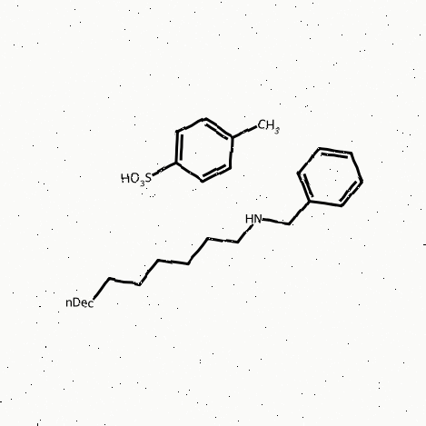 CCCCCCCCCCCCCCCCNCc1ccccc1.Cc1ccc(S(=O)(=O)O)cc1